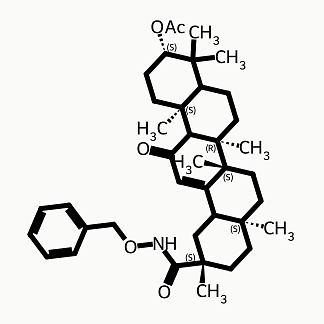 CC(=O)O[C@H]1CC[C@@]2(C)C(CC[C@]3(C)C2C(=O)C=C2C4C[C@@](C)(C(=O)NOCc5ccccc5)CC[C@]4(C)CC[C@]23C)C1(C)C